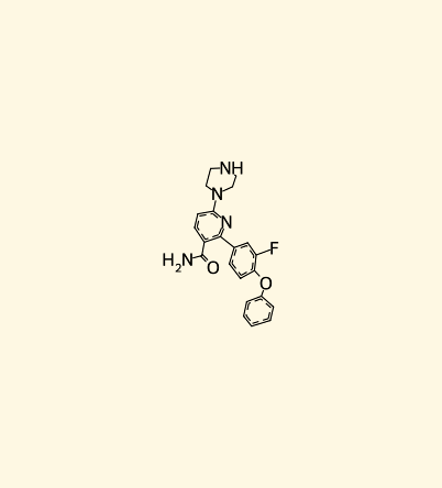 NC(=O)c1ccc(N2CCNCC2)nc1-c1ccc(Oc2ccccc2)c(F)c1